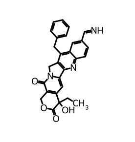 CCC1(O)C(=O)OCc2c1cc1n(c2=O)Cc2c-1nc1ccc(C=N)cc1c2Cc1ccccc1